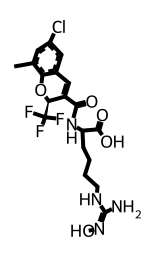 Cc1cc(Cl)cc2c1O[C@H](C(F)(F)F)C(C(=O)NC(CCCCN/C(N)=N\O)C(=O)O)=C2